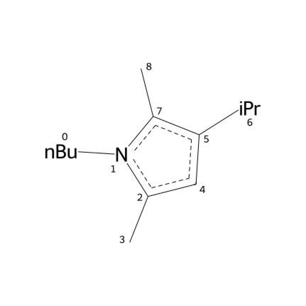 CCCCn1c(C)cc(C(C)C)c1C